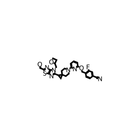 N#Cc1ccc(COc2cccc(N3CCC4(CC3)CC4c3nc4sc(C=O)nc4n3CC3CCO3)n2)c(F)c1